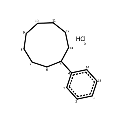 Cl.c1ccc([C]2CCCCCCCC2)cc1